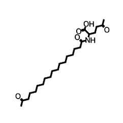 CC(=O)CCCCCCCCCCCCCCCC(=O)NC(CCC(C)=O)C(=O)O